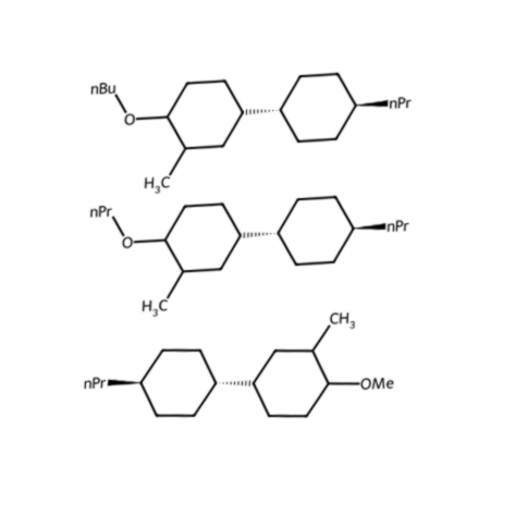 CCCCOC1CCC([C@H]2CC[C@H](CCC)CC2)CC1C.CCCOC1CCC([C@H]2CC[C@H](CCC)CC2)CC1C.CCC[C@H]1CC[C@H](C2CCC(OC)C(C)C2)CC1